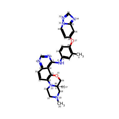 Cc1cc(Nc2ncnc3ccc4c(c23)OC[C@H]2CN(C)CCN42)ccc1Oc1ccn2ncnc2c1